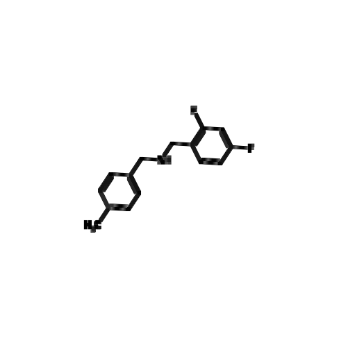 Cc1ccc(CNCc2ccc(F)cc2F)cc1